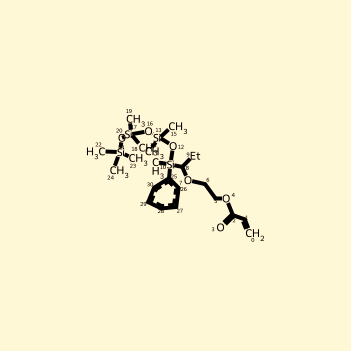 C=CC(=O)OCCOC(CC)[Si](C)(O[Si](C)(C)O[Si](C)(C)O[Si](C)(C)C)c1ccccc1